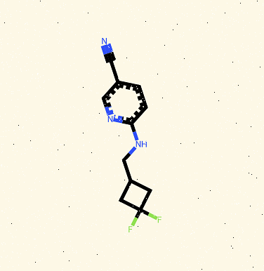 N#Cc1ccc(NCC2CC(F)(F)C2)nc1